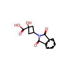 O=C1c2ccccc2C(=O)N1C1CC(O)(C(=O)O)C1